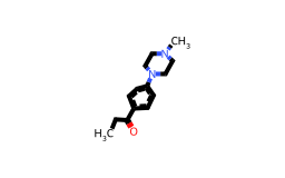 CCC(=O)c1ccc(N2CCN(C)CC2)cc1